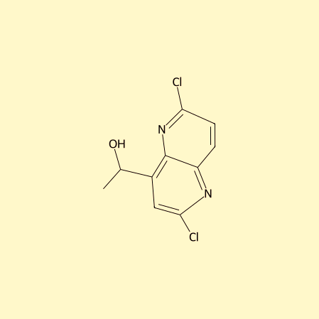 CC(O)c1cc(Cl)nc2ccc(Cl)nc12